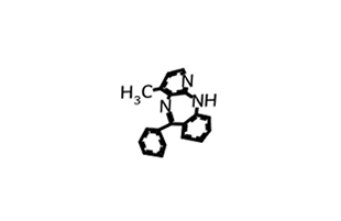 Cc1ccnc2c1N=C(c1ccccc1)c1ccccc1N2